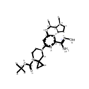 C[C@H](Oc1cc(N2CCN(C(=O)OC(C)(C)C)C3(CC3)C2)nc(/C(N)=N/O)n1)[C@@H]1CCCN1C